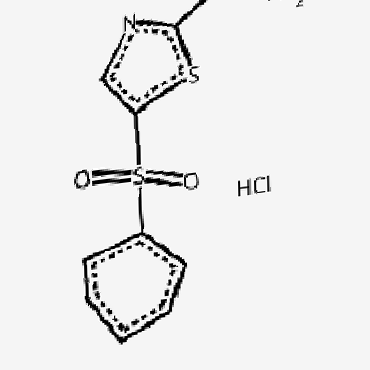 Cl.NCc1ncc(S(=O)(=O)c2ccccc2)s1